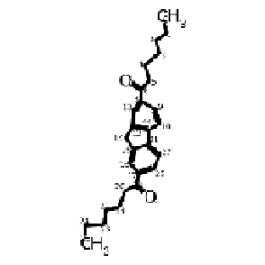 CCCCCCC(=O)c1ccc2c(c1)Cc1cc(C(=O)CCCCCC)ccc1-2